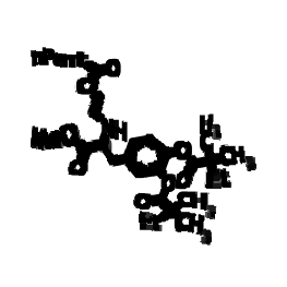 CCCCCC(=O)OCCN[C@@H](Cc1ccc(OC(=O)C(C)(C)CC)c(OC(=O)C(C)(C)CC)c1)C(=O)OC